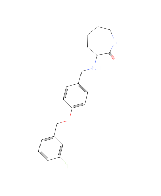 O=C1NCCCCC1NCc1ccc(OCc2cccc(F)c2)cc1